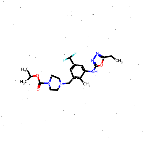 CCc1nnc(Nc2cc(C(F)F)cc(CN3CCN(C(=O)OC(C)C)CC3)c2C)o1